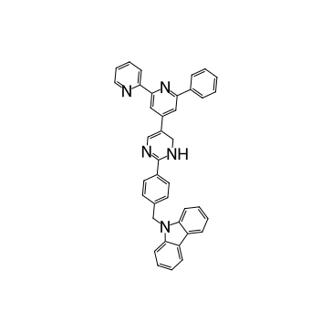 C1=C(c2cc(-c3ccccc3)nc(-c3ccccn3)c2)CNC(c2ccc(Cn3c4ccccc4c4ccccc43)cc2)=N1